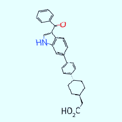 O=C(O)C[C@H]1CC[C@H](c2ccc(-c3ccc4c(C(=O)c5ccccc5)c[nH]c4c3)cc2)CC1